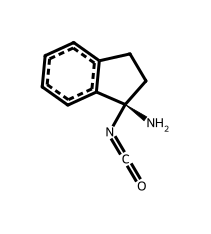 N[C@]1(N=C=O)CCc2ccccc21